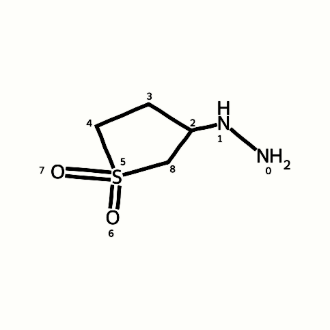 NNC1CCS(=O)(=O)C1